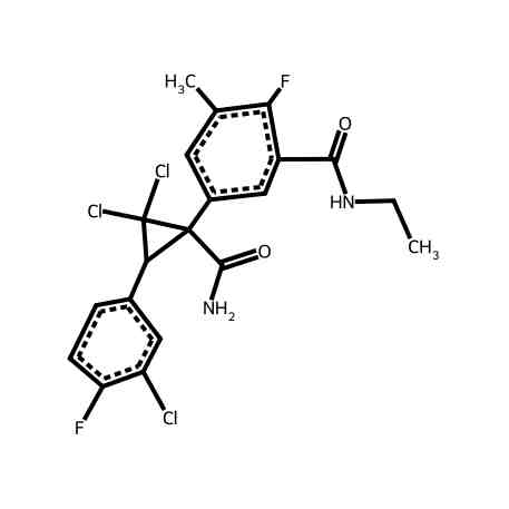 CCNC(=O)c1cc(C2(C(N)=O)C(c3ccc(F)c(Cl)c3)C2(Cl)Cl)cc(C)c1F